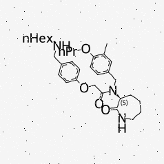 CCCCCCNCc1ccc(OCC(=O)N(Cc2ccc(OCCC)c(C)c2)[C@H]2CCCCNC2=O)cc1